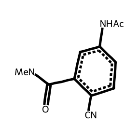 CNC(=O)c1cc(NC(C)=O)ccc1C#N